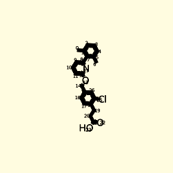 Cc1cccc(C)c1-c1cccc(OCc2ccc(CCC(=O)O)c(Cl)c2)n1